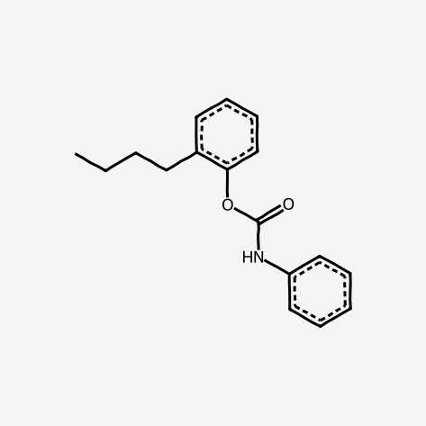 CCCCc1ccccc1OC(=O)Nc1ccccc1